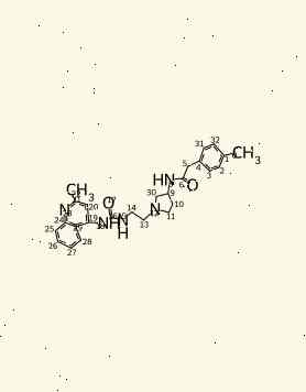 Cc1ccc(CC(=O)NC2CCN(CCNC(=O)Nc3cc(C)nc4ccccc34)C2)cc1